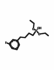 CCO[Si](O)(CCCCc1cccc(F)c1)OCC